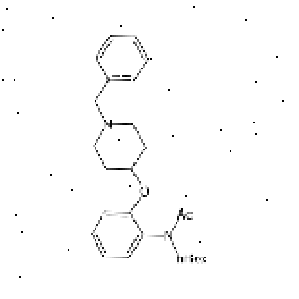 CCCCCCN(C(C)=O)c1ccccc1OC1CCN(Cc2ccccc2)CC1